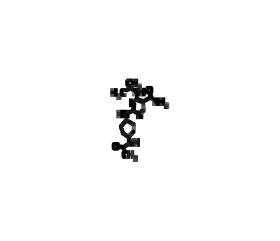 CC(=O)NC1CCC(Nc2ncc(C(N)=O)c(NC(C)C)n2)CC1